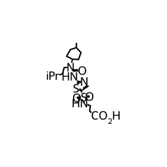 CC(C)CCN(C(=O)Nc1ncc(S(=O)(=O)NCCC(=O)O)s1)C1CCC(C)CC1